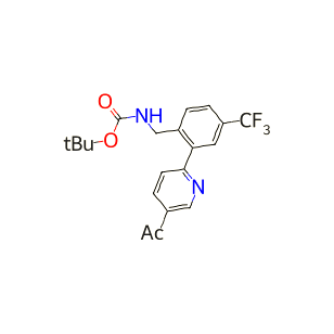 CC(=O)c1ccc(-c2cc(C(F)(F)F)ccc2CNC(=O)OC(C)(C)C)nc1